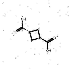 O=C(O)[C@H]1C[C@H](C(=O)O)C1